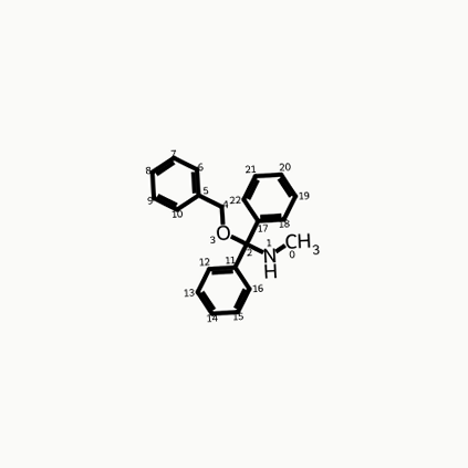 CNC(OCc1ccccc1)(c1ccccc1)c1ccccc1